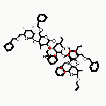 C=CCO[C@H]1OC(CO)[C@@H](O[C@@H]2OC(COCc3ccccc3)[C@@H](C)[C@H](C)C2O[C@@H]2OC(CC)[C@@H](O[C@@H]3OC(COCc4ccccc4)[C@H](O[C@H]4OC(COCc5ccccc5)[C@H](C)[C@H](C)C4C)[C@H](C)C3OCc3ccccc3)[C@H](C)C2N=[N+]=[N-])[C@H](O[C@@H]2OC(CC)[C@@H](C)[C@H](C)C2OCc2ccccc2)C1C